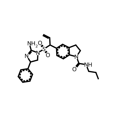 C=CC(c1ccc2c(c1)CCN2C(=O)NCCC)S(=O)(=O)N1CC(c2ccccc2)N=C1N